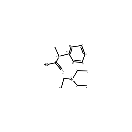 CCN(CC)CC.CN(C(=S)S)c1ccccc1